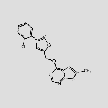 Cc1cc2c(OCc3cc(-c4ccccc4Cl)no3)ncnc2s1